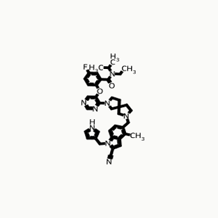 CCN(C(=O)c1cc(F)ccc1Oc1cncnc1N1CCC2(CCN(Cc3ccc4c(cc(C#N)n4Cc4cc[nH]c4)c3C)C2)C1)C(C)C